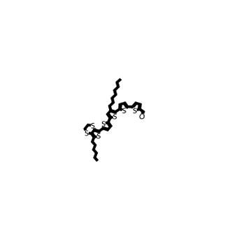 CCCCCCCCc1cc(-c2ccc(-c3sc(CCCCCC)c4c3SCCS4)s2)sc1-c1ccc(-c2ccc(C=O)s2)s1